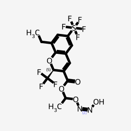 CCc1cc(S(F)(F)(F)(F)F)cc2c1O[C@H](C(F)(F)F)C(C(=O)OC(C)O/N=N\O)=C2